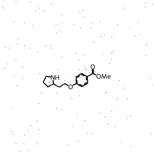 COC(=O)c1ccc(OCCC2CCCN2)cc1